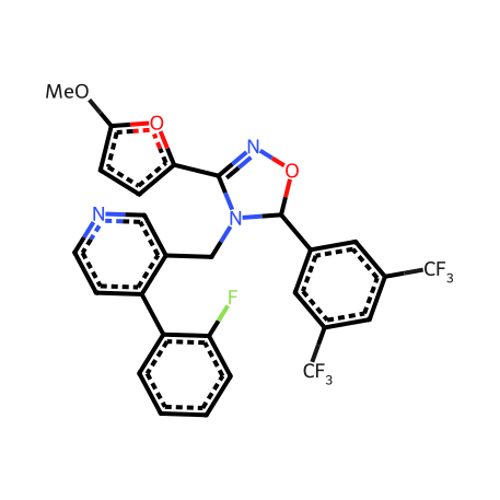 COc1ccc(C2=NOC(c3cc(C(F)(F)F)cc(C(F)(F)F)c3)N2Cc2cnccc2-c2ccccc2F)o1